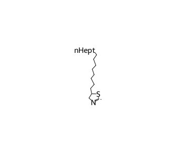 CCCCCCCCCCCCCCCC1CN=[C]S1